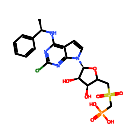 C[C@@H](Nc1nc(Cl)nc2c1ccn2[C@@H]1OC(CS(=O)(=O)CP(=O)(O)O)[C@@H](O)[C@H]1O)c1ccccc1